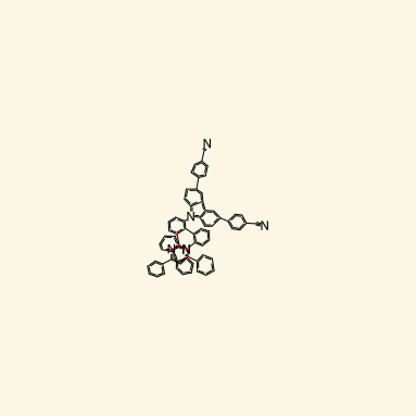 N#Cc1ccc(-c2ccc3c(c2)c2cc(-c4ccc(C#N)cc4)ccc2n3-c2cccc(-c3nc(-c4ccccc4)cc(-c4ccccc4)n3)c2-c2ccccc2-n2c3ccccc3c3ccccc32)cc1